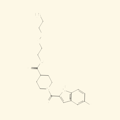 NCCSSCCNC(=O)C1CCN(C(=O)c2cc3cc(F)ccc3[nH]2)CC1